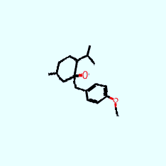 COc1ccc(CC2([O])CC(C)CCC2C(C)C)cc1